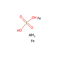 O=S(=O)(O)O.[AlH3].[Fe].[Fe]